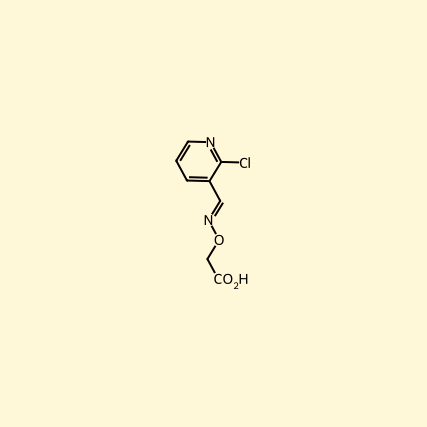 O=C(O)CON=Cc1cccnc1Cl